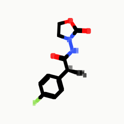 C[C@H](C(=O)NN1CCOC1=O)c1ccc(F)cc1